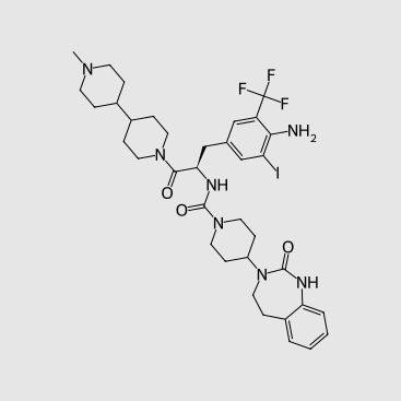 CN1CCC(C2CCN(C(=O)[C@@H](Cc3cc(I)c(N)c(C(F)(F)F)c3)NC(=O)N3CCC(N4CCc5ccccc5NC4=O)CC3)CC2)CC1